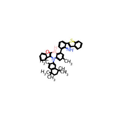 Cc1cc(-c2cccc3c2[nH]c2c4ccccc4sc32)c2c(c1)N(c1cc3c(cc1C)C(C)(C)CCC3(C)C)c1c(oc3ccccc13)B2